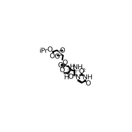 CC(C)OC(=O)CS(=O)(=O)CCOP1(=O)C[C@@H]2[C@@H](CO1)O[C@@H](n1ccc(=O)[nH]c1=O)[C@]2(C)N